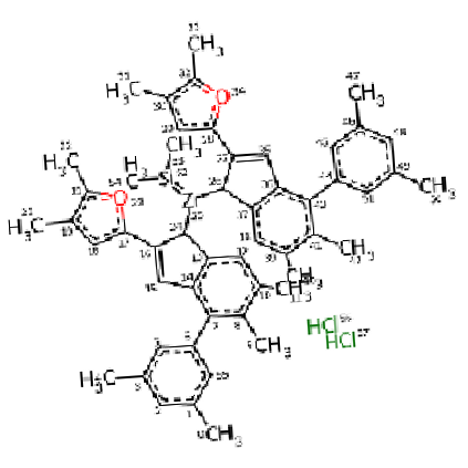 Cc1cc(C)cc(-c2c(C)c(C)cc3c2C=C(c2cc(C)c(C)o2)[CH]3[Zr]([CH]2C(c3cc(C)c(C)o3)=Cc3c2cc(C)c(C)c3-c2cc(C)cc(C)c2)=[Si](C)C)c1.Cl.Cl